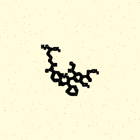 COC(=O)c1cc(NC=O)c(/C(C)=C(/Nc2ccc([S+]([O-])NOCCN(C)C)cc2)c2ccccc2)cc1C